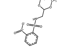 COC(CNS(=O)(=O)c1ccccc1[N+](=O)[O-])OC